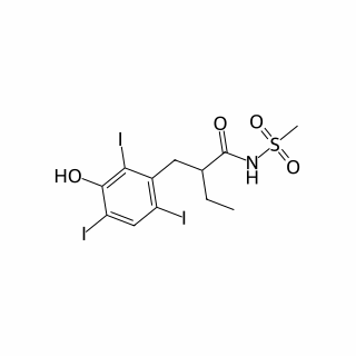 CCC(Cc1c(I)cc(I)c(O)c1I)C(=O)NS(C)(=O)=O